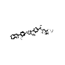 CC(C)[C@@H](COc1ccc(-c2cc3ccccc3o2)c(Cl)c1)Nc1ccc(C(=O)NC[C@@H](O)C(=O)O)cc1